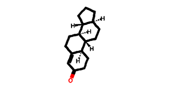 O=C1C=C2CC[C@H]3[C@@H]4CCC[C@H]4CC[C@@H]3[C@H]2CC1